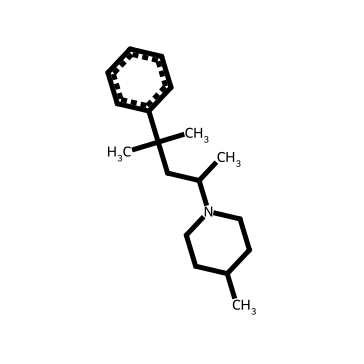 CC1CCN(C(C)CC(C)(C)c2ccccc2)CC1